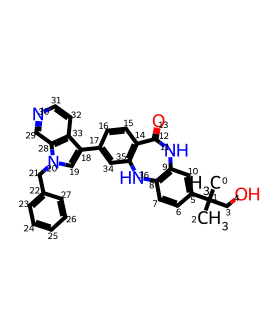 CC(C)(CO)c1ccc2c(c1)NC(=O)c1ccc(-c3cn(Cc4ccccc4)c4cnccc34)cc1N2